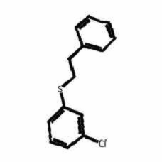 Clc1cccc(SCCc2ccccc2)c1